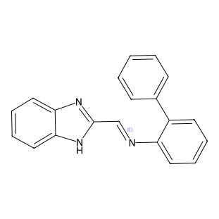 C(=N\c1ccccc1-c1ccccc1)/c1nc2ccccc2[nH]1